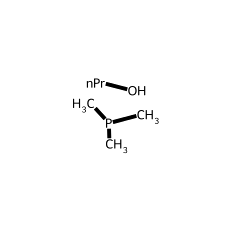 CCCO.CP(C)C